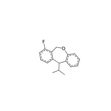 CC(C)C1c2ccccc2OCc2c(F)cccc21